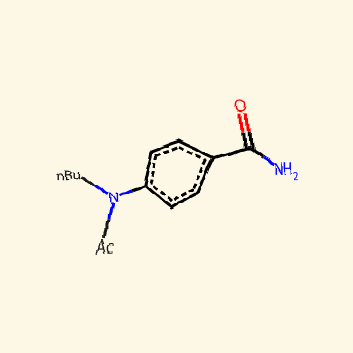 CCCCN(C(C)=O)c1ccc(C(N)=O)cc1